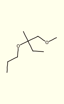 CCCOC(C)(CC)COC